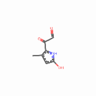 Cc1cc(O)[nH]c1C(=O)C=O